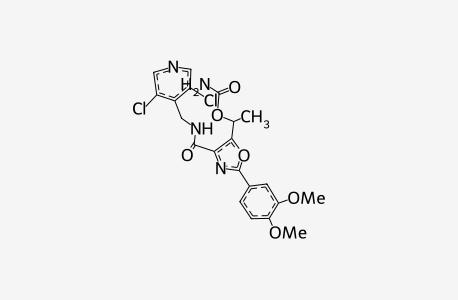 COc1ccc(-c2nc(C(=O)NCc3c(Cl)cncc3Cl)c(C(C)OC(N)=O)o2)cc1OC